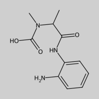 CC(C(=O)Nc1ccccc1N)N(C)C(=O)O